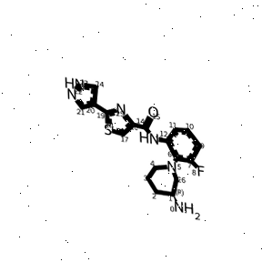 N[C@@H]1CCCN(c2c(F)cccc2NC(=O)c2csc(-c3cn[nH]c3)n2)C1